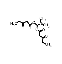 CCC(=O)CC(=O)OC(OC(=O)CC(=O)CC)N(C)C